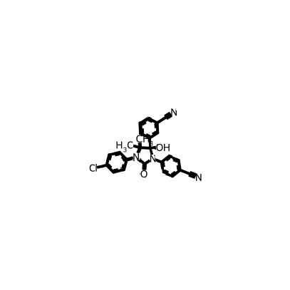 CC1(C)N(c2ccc(Cl)cc2)C(=O)N(c2ccc(C#N)cc2)C1(O)c1cccc(C#N)c1